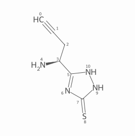 C#CC[C@H](N)c1nc(=S)[nH][nH]1